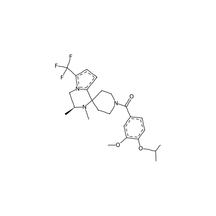 COc1cc(C(=O)N2CCC3(CC2)c2ccc(C(F)(F)F)n2C[C@H](C)N3C)ccc1OC(C)C